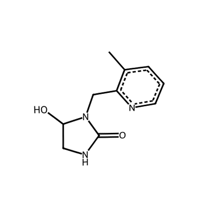 Cc1cccnc1CN1C(=O)NCC1O